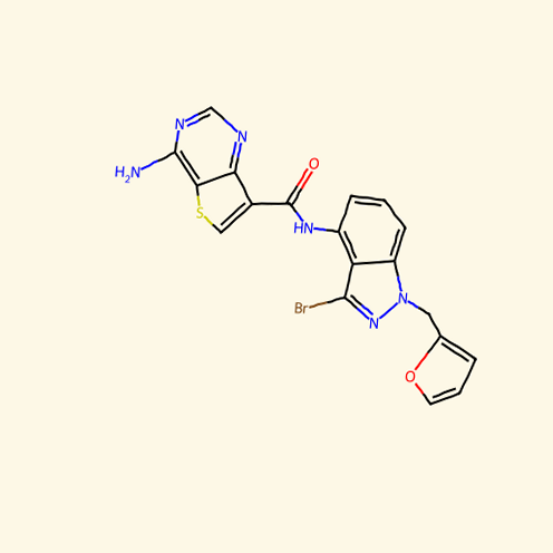 Nc1ncnc2c(C(=O)Nc3cccc4c3c(Br)nn4Cc3ccco3)csc12